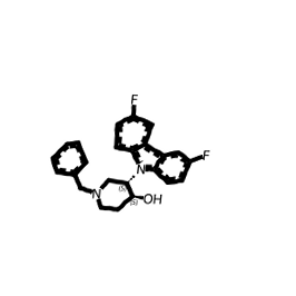 O[C@H]1CCN(Cc2ccccc2)C[C@@H]1n1c2ccc(F)cc2c2cc(F)ccc21